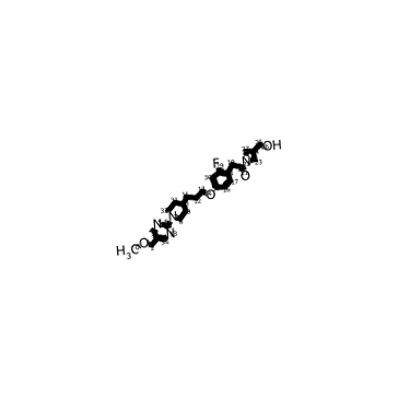 COCc1cnc(N2CCC(CCCOc3ccc(CC(=O)N4CC(CO)C4)c(F)c3)CC2)nc1